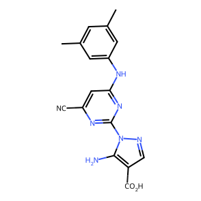 Cc1cc(C)cc(Nc2cc(C#N)nc(-n3ncc(C(=O)O)c3N)n2)c1